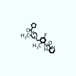 Cc1c(CN2CCN(C(=O)C3CCCC3)C(C)C2)cc(F)cc1NC(=O)c1ccccn1